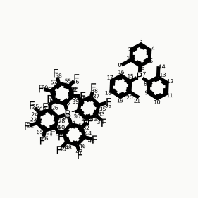 Cc1ccccc1P(c1ccccc1C)c1ccccc1C.Fc1c(F)c(F)c([B-](c2c(F)c(F)c(F)c(F)c2F)(c2c(F)c(F)c(F)c(F)c2F)c2c(F)c(F)c(F)c(F)c2F)c(F)c1F